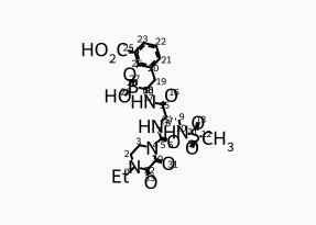 CCN1CCN(C(=O)N[C@@H](CNS(C)(=O)=O)C(=O)N[C@H]2Cc3cccc(C(=O)O)c3OB2O)C(=O)C1=O